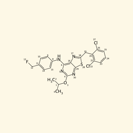 CC(C)Oc1nc(Nc2ccc(CF)cc2)c2nc(Cc3c(Cl)cccc3Cl)sc2n1